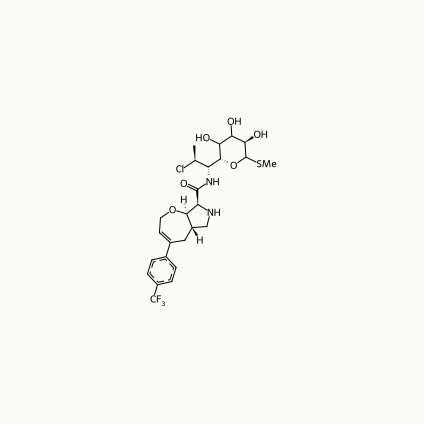 CSC1O[C@H]([C@H](NC(=O)[C@H]2NC[C@@H]3CC(c4ccc(C(F)(F)F)cc4)=CCO[C@H]32)[C@H](C)Cl)C(O)C(O)[C@H]1O